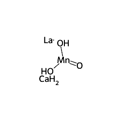 [CaH2].[La].[O]=[Mn]([OH])[OH]